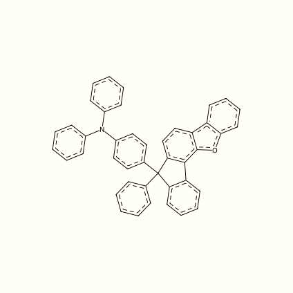 c1ccc(N(c2ccccc2)c2ccc(C3(c4ccccc4)c4ccccc4-c4c3ccc3c4oc4ccccc43)cc2)cc1